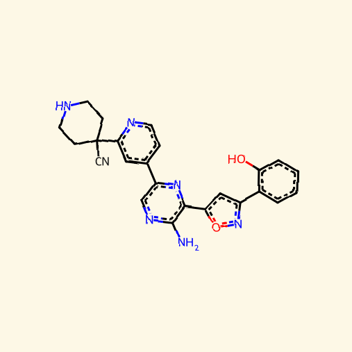 N#CC1(c2cc(-c3cnc(N)c(-c4cc(-c5ccccc5O)no4)n3)ccn2)CCNCC1